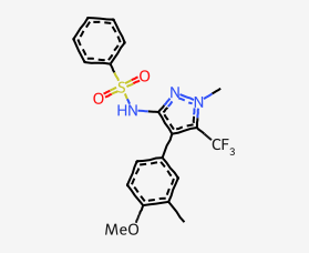 COc1ccc(-c2c(NS(=O)(=O)c3ccccc3)nn(C)c2C(F)(F)F)cc1C